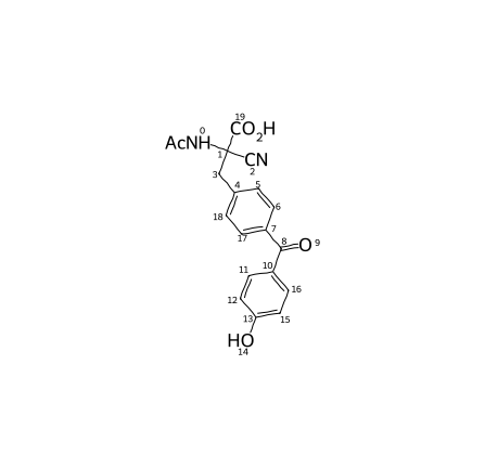 CC(=O)NC(C#N)(Cc1ccc(C(=O)c2ccc(O)cc2)cc1)C(=O)O